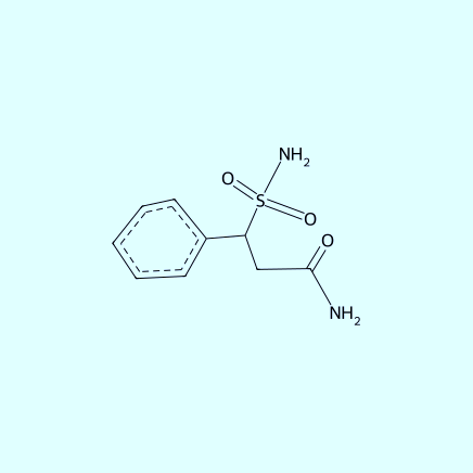 NC(=O)CC(c1ccccc1)S(N)(=O)=O